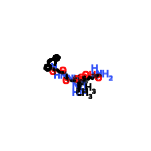 CCC(C)[C@H](NC(=O)CNC(=O)CNC(=O)CCC(=O)N1Cc2ccccc2C#Cc2ccccc21)C(=O)N[C@@H](CCCNC(N)=O)C(=O)O